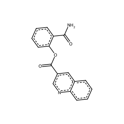 NC(=O)c1ccccc1OC(=O)c1cnc2ccccc2c1